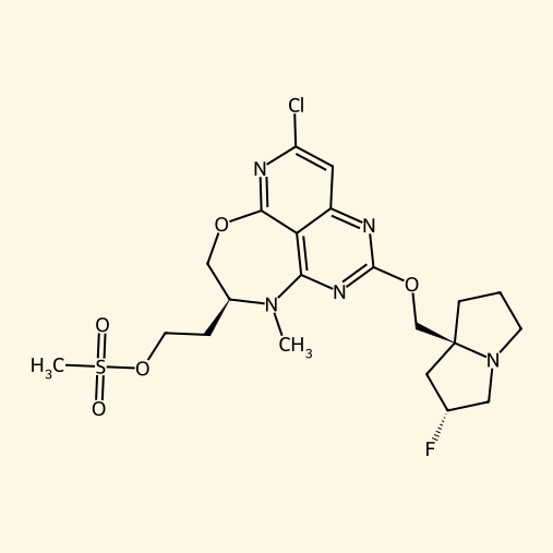 CN1c2nc(OC[C@@]34CCCN3C[C@H](F)C4)nc3cc(Cl)nc(c23)OC[C@@H]1CCOS(C)(=O)=O